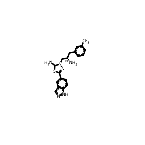 NC1SC(c2ccc3[nH]ncc3c2)=NN1C[C@H](N)Cc1cccc(C(F)(F)F)c1